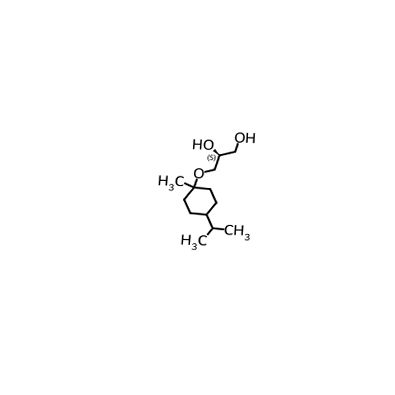 CC(C)C1CCC(C)(OC[C@@H](O)CO)CC1